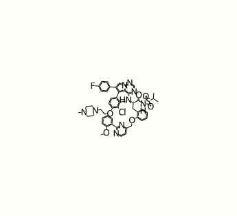 COc1ccccc1-c1nccc(COc2ccccc2CC(Nc2ncnn3cc(-c4ccc(F)cc4)c(-c4ccc(OCCN5CCN(C)CC5)c(Cl)c4C)c23)C(=O)NS(=O)(=O)C(C)C)n1